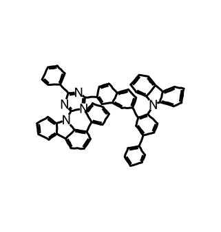 c1ccc(-c2ccc(-n3c4ccccc4c4ccccc43)c(-c3ccc4ccc(-c5nc(-c6ccccc6)nc(-n6c7ccccc7c7cccc(-c8ccccc8)c76)n5)cc4c3)c2)cc1